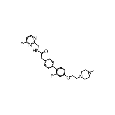 CN1CCN(CCOc2ccc(-c3ccc(CC(=O)NCc4nccc(F)n4)cc3)c(F)c2)CC1